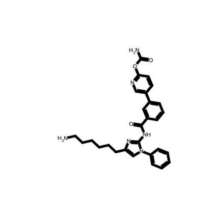 NCCCCCCc1cn(-c2ccccc2)c(NC(=O)c2cccc(-c3ccc(OC(N)=O)nc3)c2)n1